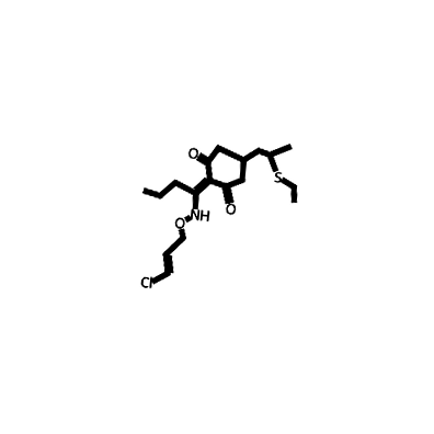 CCCC(NOCC=CCl)=C1C(=O)CC(CC(C)SCC)CC1=O